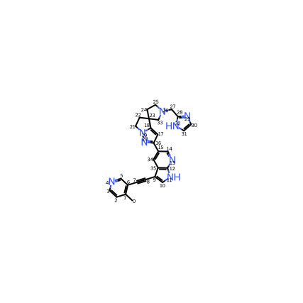 Cc1ccncc1C#Cc1c[nH]c2ncc(-c3cc4n(n3)CCC43CCN(Cc4ncc[nH]4)C3)cc12